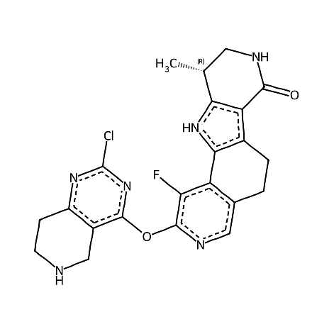 C[C@@H]1CNC(=O)c2c1[nH]c1c2CCc2cnc(Oc3nc(Cl)nc4c3CNCC4)c(F)c2-1